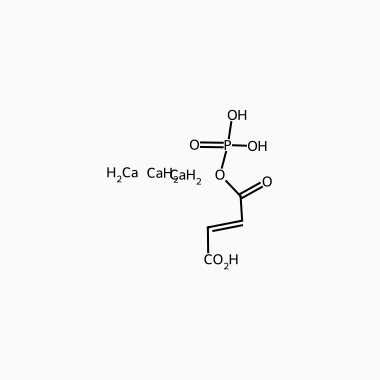 O=C(O)/C=C/C(=O)OP(=O)(O)O.[CaH2].[CaH2].[CaH2]